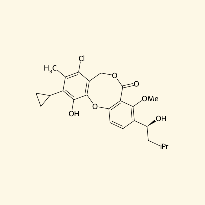 COc1c([C@@H](O)CC(C)C)ccc2c1C(=O)OCc1c(Cl)c(C)c(C3CC3)c(O)c1O2